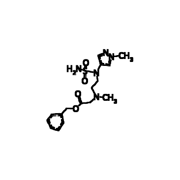 CN(CCN(c1cnn(C)c1)S(N)(=O)=O)CC(=O)OCc1ccccc1